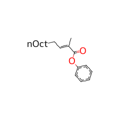 CCCCCCCCCC=C(C)C(=O)Oc1ccccc1